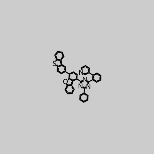 c1ccc(-c2nc(-c3ccccc3-c3cccnc3)nc(-c3ccc(-c4ccc5sc6ccccc6c5c4)c4oc5ccccc5c34)n2)cc1